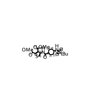 COC(=O)c1scc(NC(=O)C2CCC(NS(=O)(=O)C(C)(C)C)CC2)c1C(=O)OC